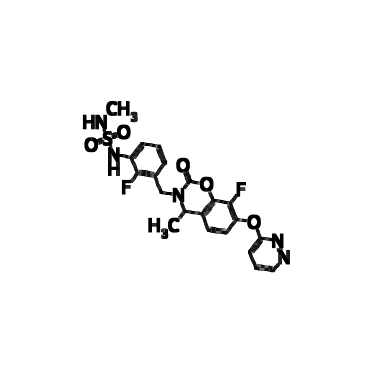 CNS(=O)(=O)Nc1cccc(CN2C(=O)Oc3c(ccc(Oc4cccnn4)c3F)C2C)c1F